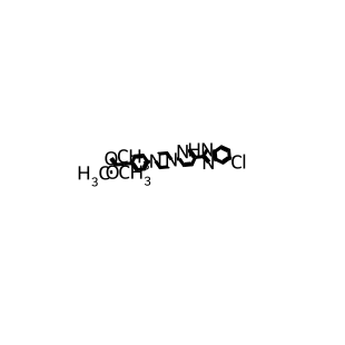 COC(=O)C(C)(C)c1ccc(N2CCN(c3ccc(-c4nc5cc(Cl)ccc5[nH]4)cn3)CC2)cc1